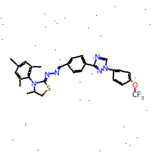 Cc1cc(C)c(N2/C(=N/N=C/c3ccc(-c4ncn(-c5ccc(OC(F)(F)F)cc5)n4)cc3)SCC2C)c(C)c1